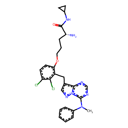 CN(c1ccccc1)c1ncnc2c(Cc3c(OCCC[C@@H](N)C(=O)NC4CC4)ccc(Cl)c3Cl)cnn12